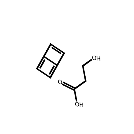 O=C(O)CCO.c1cc2ccc1-2